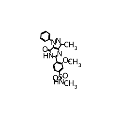 CNS(=O)(=O)c1ccc(-c2nc3c(C)nn(-c4ccccc4)c3c(=O)[nH]2)c(OC)c1